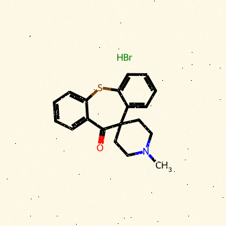 Br.CN1CCC2(CC1)C(=O)c1ccccc1Sc1ccccc12